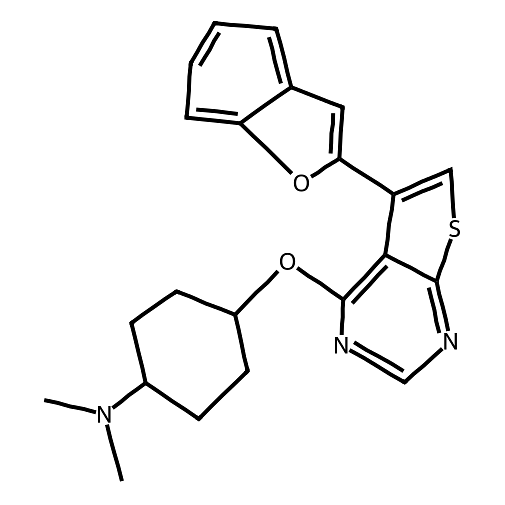 CN(C)C1CCC(Oc2ncnc3scc(-c4cc5ccccc5o4)c23)CC1